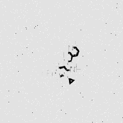 CCCn1c(=O)c(NC(=O)c2ccc(Cl)nc2)c(N)n(C2CC2)c1=O